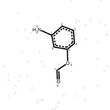 Nc1cccc(OC=O)c1